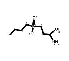 CCCCP(=O)(O)CCC(N)O